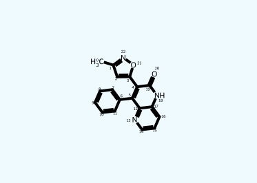 Cc1cc(-c2c(-c3ccccc3)c3ncccc3[nH]c2=O)on1